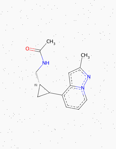 CC(=O)NC[C@H]1CC1c1cccn2nc(C)cc12